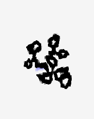 C(/C=C/c1ccccc1N(c1ccc(C=C(c2ccccc2)c2ccccc2)cc1)c1ccc2c(c1)CCCC2)=C(c1ccccc1)c1ccccc1